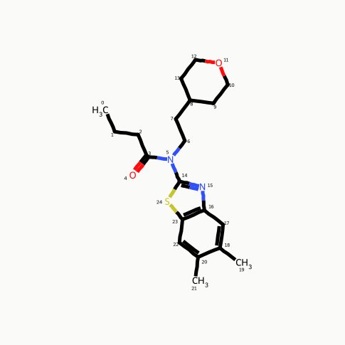 CCCC(=O)N(CCC1CCOCC1)c1nc2cc(C)c(C)cc2s1